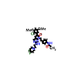 C=CC(=O)Nc1ccc(CCn2c(=O)c(-c3cc(OC)cc(OC)c3Cl)cc3cnc(NCCN4CCC(F)(F)CC4)nc32)cc1